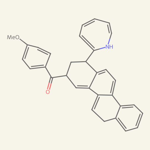 COc1ccc(C(=O)C2C=c3c(ccc4c3=CCc3ccccc3-4)C(C3=CC=CC=CN3)C2)cc1